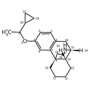 C[C](Oc1ccc2c(c1)[C@@]13CCCC[C@H]1[C@@H](C2)NCC3)C1CC1